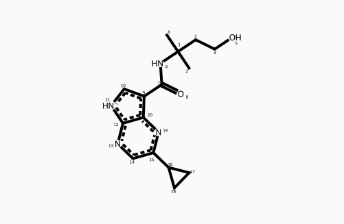 CC(C)(CCO)NC(=O)c1c[nH]c2ncc(C3CC3)nc12